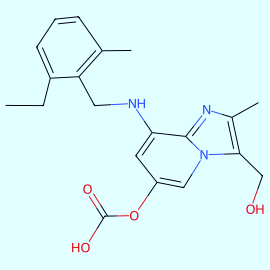 CCc1cccc(C)c1CNc1cc(OC(=O)O)cn2c(CO)c(C)nc12